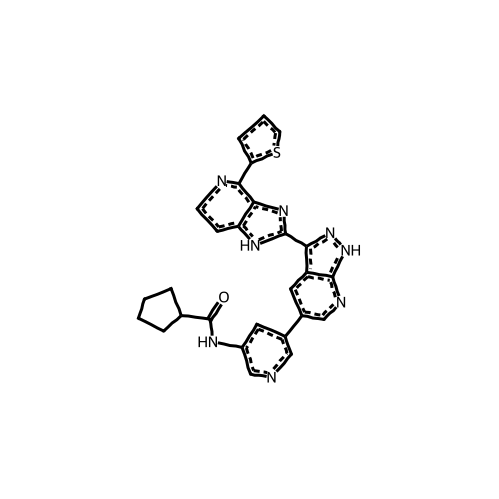 O=C(Nc1cncc(-c2cnc3[nH]nc(-c4nc5c(-c6cccs6)nccc5[nH]4)c3c2)c1)C1CCCC1